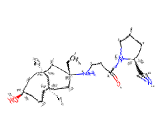 C[C@@]1(NCC(=O)N2CCC[C@H]2C#N)C[C@H]2C[C@@H](O)C[C@H]2C1